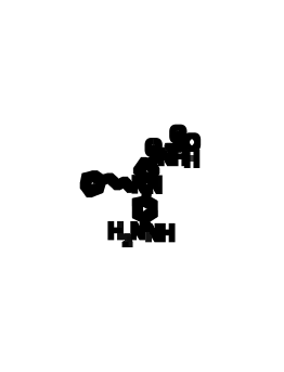 N=C(N)c1ccc(-c2nc3cc(C(=O)NCCC(=O)O)ccc3n2CCCCc2ccccc2)cc1